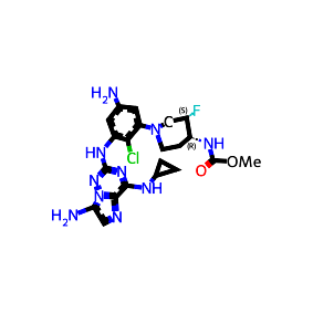 COC(=O)N[C@@H]1CCN(c2cc(N)cc(Nc3nc(NC4CC4)c4ncc(N)n4n3)c2Cl)C[C@@H]1F